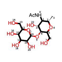 CC(=O)NC1[C@H](C)OC(CO)[C@@H](O[C@@H]2OC(CO)[C@H](O)C(O)[C@@H]2O)[C@@H]1O